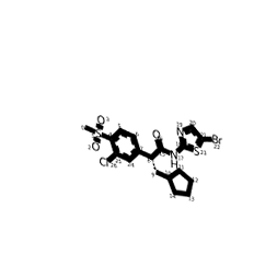 CS(=O)(=O)c1ccc([C@@H](CC2CCCC2)C(=O)Nc2ncc(Br)s2)cc1Cl